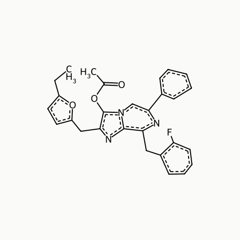 CCc1ccc(Cc2nc3c(Cc4ccccc4F)nc(-c4ccccc4)cn3c2OC(C)=O)o1